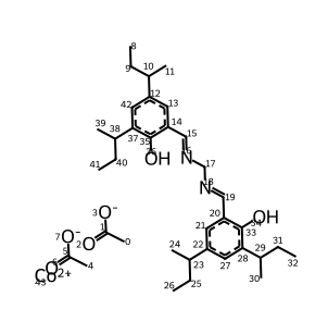 CC(=O)[O-].CC(=O)[O-].CCC(C)c1cc(C=NCN=Cc2cc(C(C)CC)cc(C(C)CC)c2O)c(O)c(C(C)CC)c1.[Co+2]